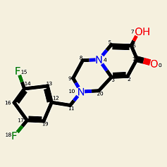 O=c1cc2n(cc1O)CCN(Cc1cc(F)cc(F)c1)C2